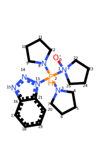 [O-][N+]1([PH](N2CCCC2)(N2CCCC2)n2nnc3ccccc32)CCCC1